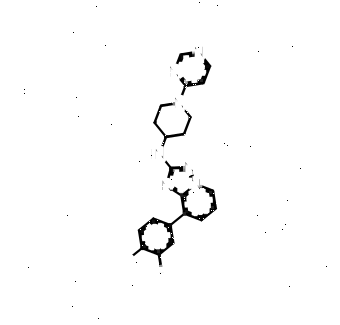 Fc1ccc(-c2cccn3nc(NC4CCN(c5ccncn5)CC4)nc23)cc1F